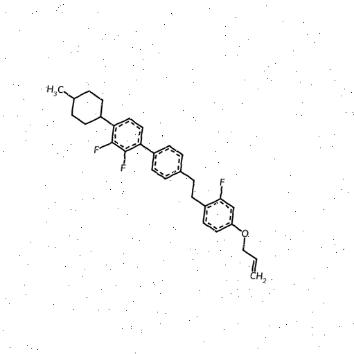 C=CCOc1ccc(CCc2ccc(-c3ccc(C4CCC(C)CC4)c(F)c3F)cc2)c(F)c1